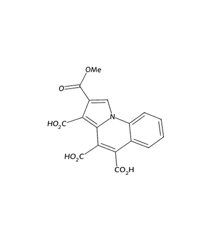 COC(=O)c1cn2c(c1C(=O)O)c(C(=O)O)c(C(=O)O)c1ccccc12